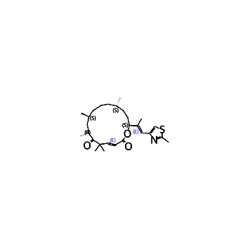 C/C(=C\c1csc(C)n1)[C@@H]1CC[C@@H](C)CCC[C@H](C)C[C@@H](C)C(=O)C(C)(C)/C=C/C(=O)O1